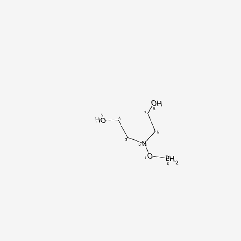 BON(CCO)CCO